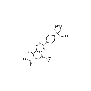 O=C(O)c1cn(C2CC2)c2cc(N3CCN(C(CO)(CO)CO)CC3)c(F)cc2c1=O